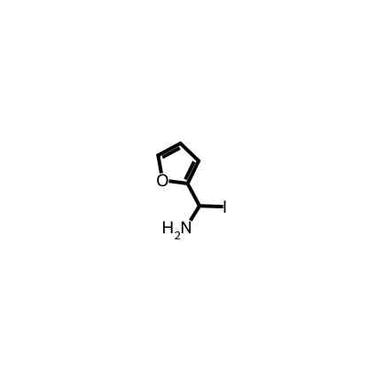 NC(I)c1ccco1